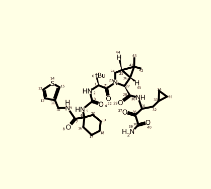 CC(C)(C)[C@H](NC(=O)NC1(C(=O)NCc2ccsc2)CCCCC1)C(=O)N1C[C@H]2[C@@H]([C@H]1C(=O)NC(CC1CC1)C(=O)C(N)=O)C2(C)C